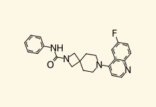 O=C(Nc1ccccc1)N1CC2(CCN(c3ccnc4ccc(F)cc34)CC2)C1